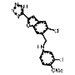 COc1ccc(NCc2cc3oc(-c4nnn[nH]4)cc3cc2Cl)cc1Cl